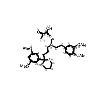 COc1cc(OC)cc(C2(CCCN(C)CCc3ccc(OC)c(OC)c3)SCCCS2)c1.O=C(O)C(=O)O